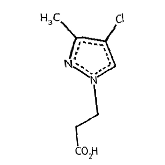 Cc1nn(CCC(=O)O)cc1Cl